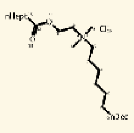 CCCCCCCCCCCCCCCC[N+](C)(C)CCOC(=O)CCCCCCC.[Cl-]